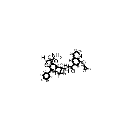 C[C@]1(C(N)=O)COc2c1cc([C@@](O)(CNC(=O)c1cc(OC3CC3)c3ncccc3c1)C(F)(F)F)nc2-c1ccccc1